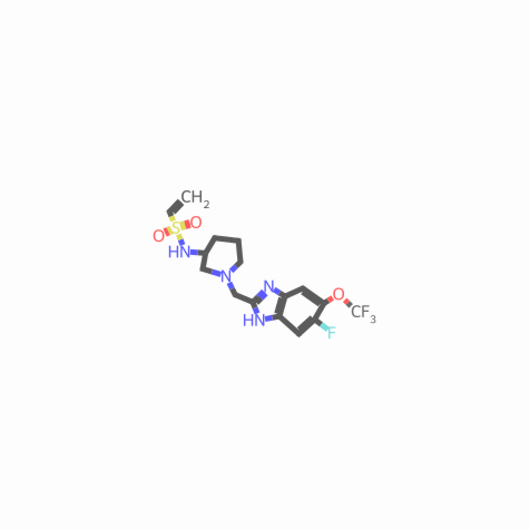 C=CS(=O)(=O)NC1CCCN(Cc2nc3cc(OC(F)(F)F)c(F)cc3[nH]2)C1